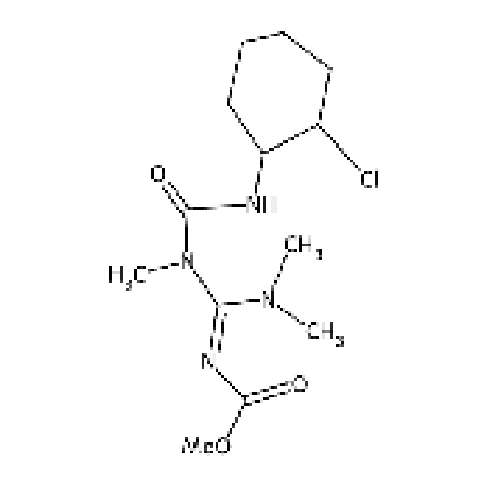 COC(=O)N=C(N(C)C)N(C)C(=O)NC1CCCCC1Cl